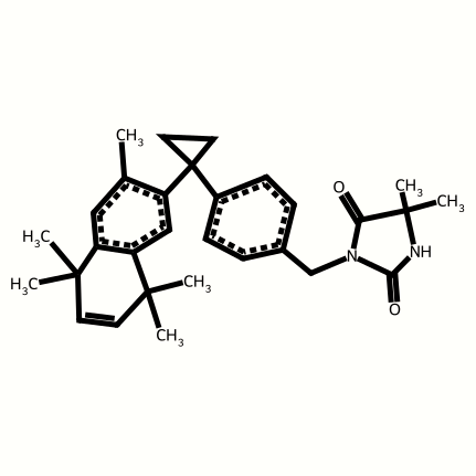 Cc1cc2c(cc1C1(c3ccc(CN4C(=O)NC(C)(C)C4=O)cc3)CC1)C(C)(C)C=CC2(C)C